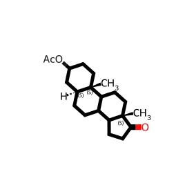 CC(=O)OC1CC[C@]2(C)C3CC[C@]4(C)C(=O)CCC4C3CC[C@H]2C1